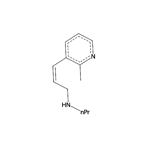 CCCNC/C=C\c1cccnc1C